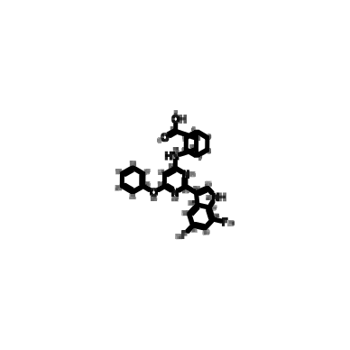 O=C(O)C1C2CCC(CC2)C1Nc1cc(Oc2ccccc2)nc(-c2c[nH]c3c(F)cc(F)cc23)n1